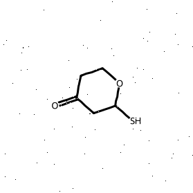 O=C1CCOC(S)C1